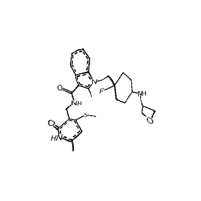 CSc1cc(C)[nH]c(=O)c1CNC(=O)c1c(C)n(CC2(F)CCC(NC3COC3)CC2)c2ccccc12